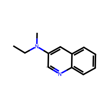 CCN(C)c1[c]nc2ccccc2c1